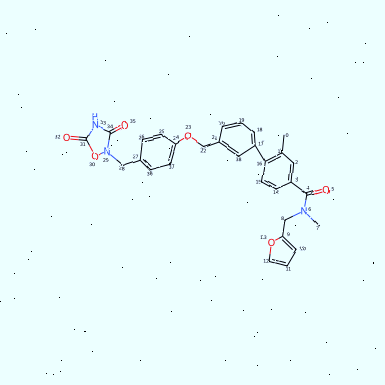 Cc1cc(C(=O)N(C)Cc2ccco2)ccc1-c1cccc(COc2ccc(Cn3oc(=O)[nH]c3=O)cc2)c1